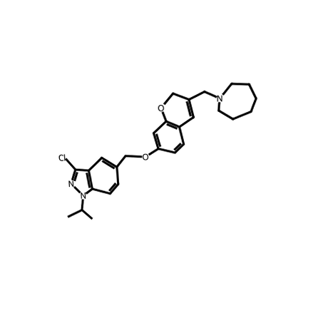 CC(C)n1nc(Cl)c2cc(COc3ccc4c(c3)OCC(CN3CCCCCC3)=C4)ccc21